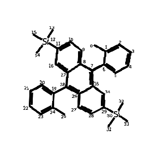 Cc1ccccc1-c1c2ccc([Si](C)(C)C)cc2c(-c2ccccc2C)c2ccc([Si](C)(C)C)cc12